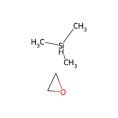 C1CO1.C[SiH](C)C